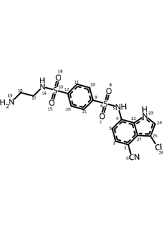 N#Cc1ccc(NS(=O)(=O)c2ccc(S(=O)(=O)NCCN)cc2)c2[nH]cc(Cl)c12